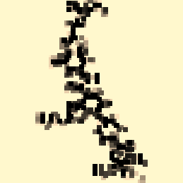 CCn1cc2c(N3CCN(C(=O)OC(C)(C)C)CC3)ccc(C(=O)Nc3cc(F)c4nc(COC(C)=O)oc4c3)c2n1